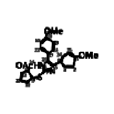 COc1ccc(-c2nc(SC3CCCC3OC(C)=O)[nH]c2-c2ccc(OC)cc2)cc1